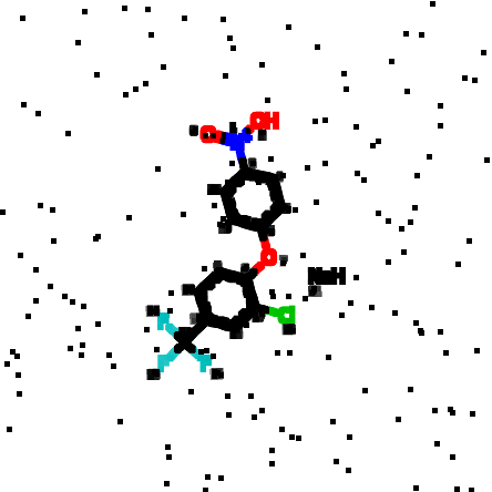 O=[N+](O)c1ccc(Oc2ccc(C(F)(F)F)cc2Cl)cc1.[NaH]